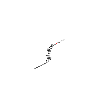 C=Cc1cc(-c2nnc(-c3ccc(OCCCCCCCCCCCC)cc3)o2)ccc1-c1nnc(-c2ccc(CCCCCCCCCCCC)cc2)o1